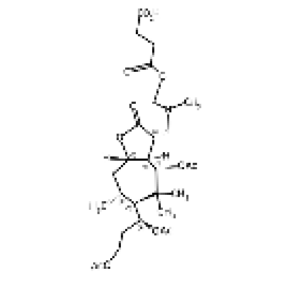 CC(=O)OCC[C@H](OC(C)=O)[C@H]1[C@H](C)C[C@@H]2OC(=O)[C@H](CN(C)COC(=O)CCC(=O)O)[C@H]2[C@H](OC(C)=O)C1(C)C